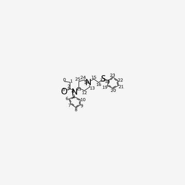 CCC(=O)N(c1ccccc1)C1CCN(CCSc2ccccc2)CC1